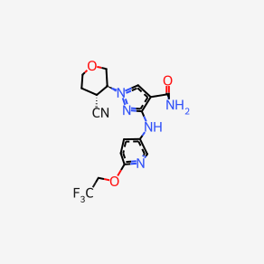 N#C[C@@H]1CCOC[C@H]1n1cc(C(N)=O)c(Nc2ccc(OCC(F)(F)F)nc2)n1